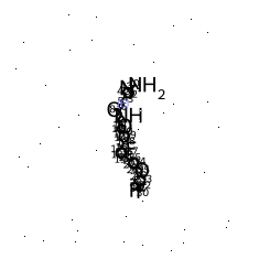 Nc1ccc(/C=C/C(=O)NCc2cc3cc(-c4cccc(-c5ccc(OC6CCC(F)(F)CC6)cc5)c4F)ccc3o2)cn1